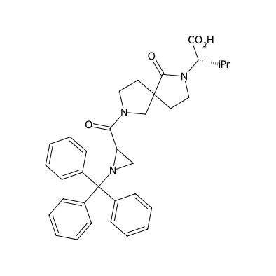 CC(C)[C@@H](C(=O)O)N1CCC2(CCN(C(=O)C3CN3C(c3ccccc3)(c3ccccc3)c3ccccc3)C2)C1=O